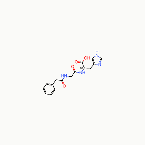 O=C(Cc1ccccc1)NCC(=O)N[C@@H](Cc1c[nH]cn1)C(=O)O